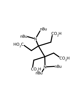 CCCCN(CCCC)C(CC(=O)O)(CC(=O)O)C(CC(=O)O)(CC(=O)O)N(CCCC)CCCC